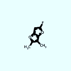 Cc1oc2cc(F)oc2c1C